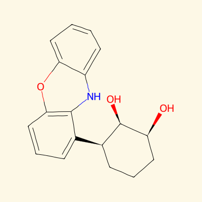 O[C@H]1[C@@H](O)CCC[C@H]1c1cccc2c1Nc1ccccc1O2